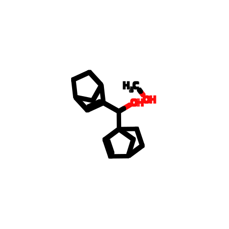 CO.OC(C1=CC2CCC1C2)C12C=CC(CC1)C2